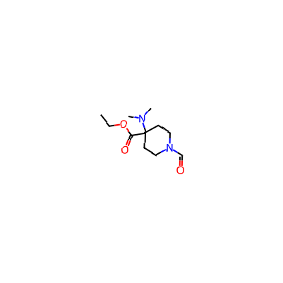 CCOC(=O)C1(N(C)C)CCN(C=O)CC1